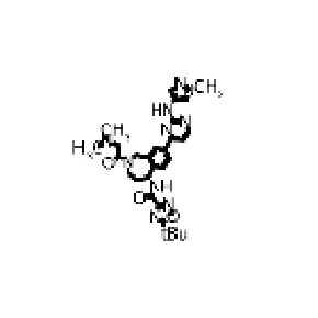 CN(C)CC(=O)N1CC[C@@H](NC(=O)c2noc(C(C)(C)C)n2)c2ccc(-c3ccnc(Nc4cnn(C)c4)n3)cc2C1